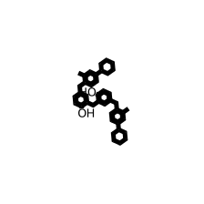 Cc1cc(C2CCCCC2)ccc1Cc1ccc(O)c(Cc2cc(Cc3ccc(C4CCCCC4)cc3C)ccc2O)c1